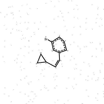 Brc1cccc(/C=C\C2CC2)c1